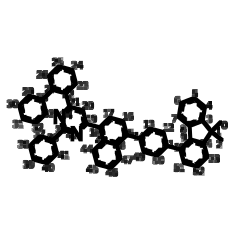 CC1(C)c2ccccc2-c2c(-c3ccc(-c4ccc(-c5cc(-c6ccccc6-c6ccccc6)nc(-c6ccccc6)n5)c5ccccc45)cc3)cccc21